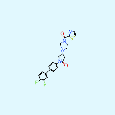 O=C(c1nccs1)N1CCN(C2CC(=O)N(c3ccc(-c4ccc(F)c(F)c4)cc3)C2)CC1